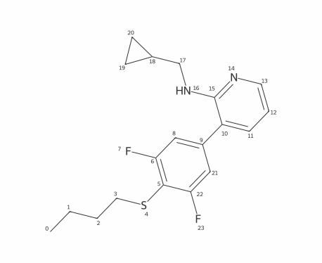 CCCCSc1c(F)cc(-c2cccnc2NCC2CC2)cc1F